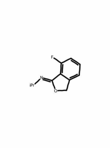 CC(C)N=C1OCc2cccc(F)c21